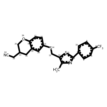 Cc1nc(-c2ccc(C(F)(F)F)cc2)sc1CSc1ccc2c(c1)CC(CC#N)CO2